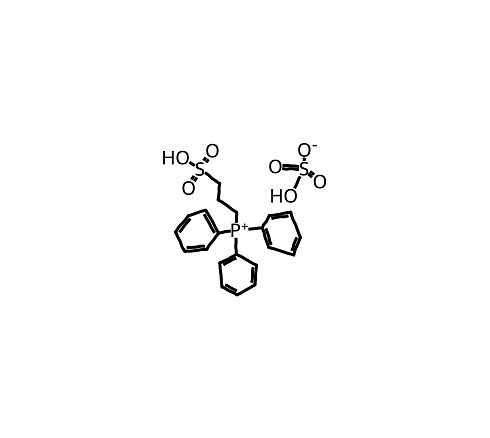 O=S(=O)(O)CCC[P+](c1ccccc1)(c1ccccc1)c1ccccc1.O=S(=O)([O-])O